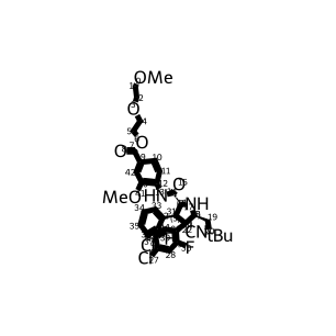 COCCOCCOC(=O)c1ccc(NC(=O)[C@@H]2N[C@@H](CC(C)(C)C)[C@](C#N)(c3ccc(Cl)cc3F)[C@H]2c2cccc(Cl)c2F)c(OC)c1